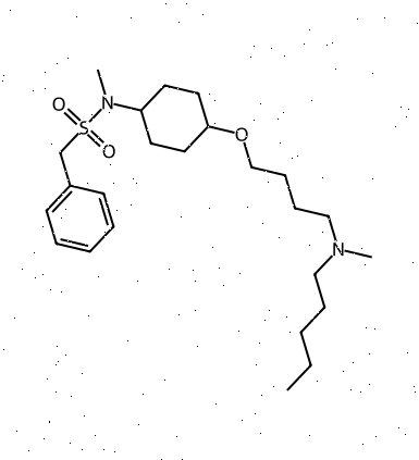 CCCCCN(C)CCCCOC1CCC(N(C)S(=O)(=O)Cc2ccccc2)CC1